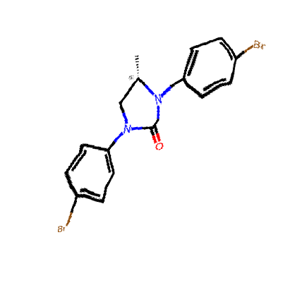 C[C@H]1CN(c2ccc(Br)cc2)C(=O)N1c1ccc(Br)cc1